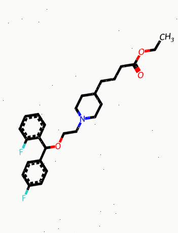 CCOC(=O)CCCC1CCN(CCOC(c2ccc(F)cc2)c2ccccc2F)CC1